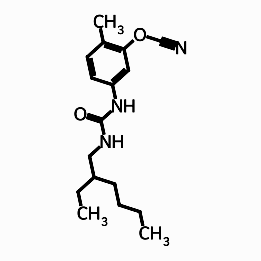 CCCCC(CC)CNC(=O)Nc1ccc(C)c(OC#N)c1